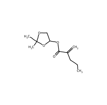 C=C(CCC)C(=O)OC1COC(C)(C)O1